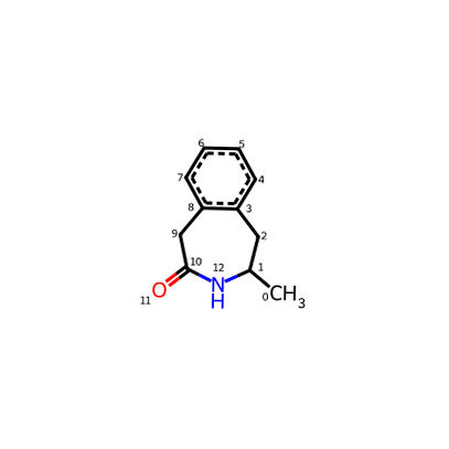 CC1Cc2ccccc2CC(=O)N1